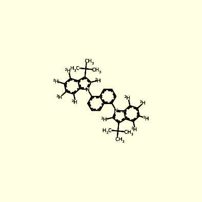 [2H]c1c([2H])c([2H])c2c(c1[2H])c(C(C)(C)C)c([2H])n2-c1cccc2c(-n3c([2H])c(C(C)(C)C)c4c([2H])c([2H])c([2H])c([2H])c43)cccc12